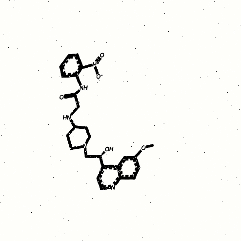 COc1ccc2nccc([C@H](O)CN3CCC(NCC(=O)Nc4ccccc4[N+](=O)[O-])CC3)c2c1